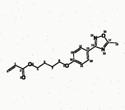 C=CC(=O)OCCCCOc1ccc(-c2noc(C)n2)cc1